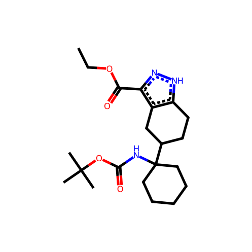 CCOC(=O)c1n[nH]c2c1CC(C1(NC(=O)OC(C)(C)C)CCCCC1)CC2